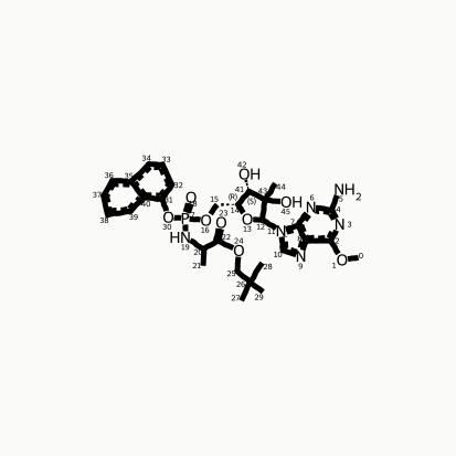 COc1nc(N)nc2c1ncn2C1O[C@H](COP(=O)(NC(C)C(=O)OCC(C)(C)C)Oc2cccc3ccccc23)[C@H](O)C1(C)O